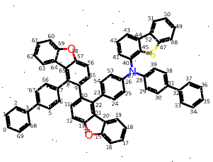 c1ccc(-c2ccc(-c3c(-c4ccc5oc6ccccc6c5c4-c4ccc(N(c5ccc(-c6ccccc6)cc5)c5cccc6c5sc5ccccc56)cc4)ccc4oc5ccccc5c34)cc2)cc1